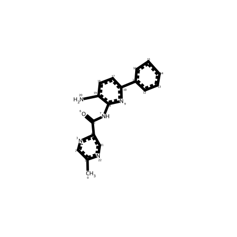 Cc1cnc(C(=O)Nc2nc(-c3ccccc3)ccc2N)cn1